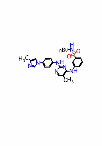 CCCCNS(=O)(=O)c1cccc(Nc2nc(Nc3ccc(-n4cnc(C)c4)cc3)ncc2C)c1